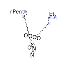 CC/C=C\C/C=C\C/C=C\CCCCCCCC(=O)OCC(COC(=O)CCCCCCC/C=C\C/C=C\CCCCC)COC(=O)N(C)C1CN(C)C1